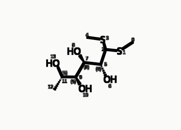 CSC(SC)[C@H](O)[C@H](O)[C@@H](O)[C@H](C)O